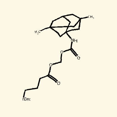 CCCCCCCCCCCCCC(=O)OCOC(=O)NC12CC3CC(C)(CC(C)(C3)C1)C2